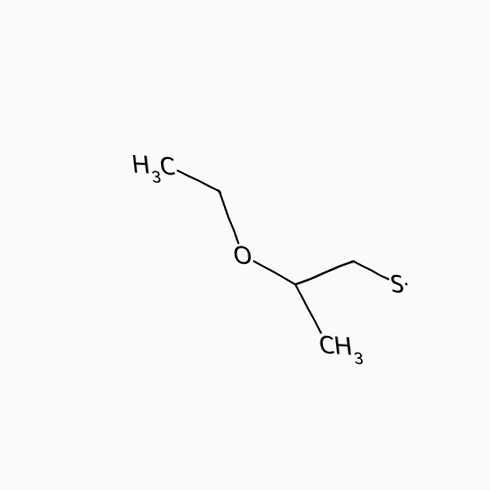 CCOC(C)C[S]